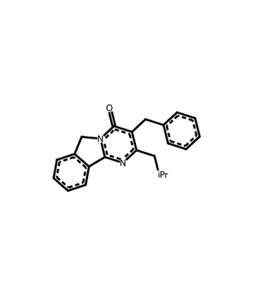 CC(C)Cc1nc2n(c(=O)c1Cc1ccccc1)Cc1ccccc1-2